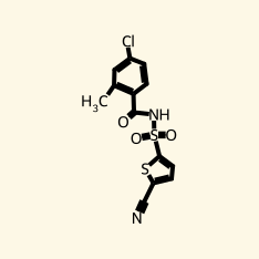 Cc1cc(Cl)ccc1C(=O)NS(=O)(=O)c1ccc(C#N)s1